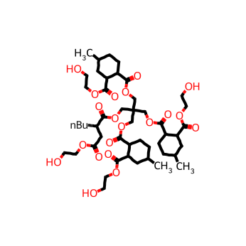 CCCCC(CC(=O)OCCO)C(=O)OCC(COC(=O)C1CCC(C)CC1C(=O)OCCO)(COC(=O)C1CCC(C)CC1C(=O)OCCO)COC(=O)C1CCC(C)CC1C(=O)OCCO